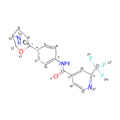 O=C(Nc1ccc(C23CCC(CO2)NC3)cc1)c1ccnc(C(F)(F)F)c1